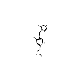 CCN(C)C=Nc1cc(C)c(Cc2ccc(F)cc2C)cc1F